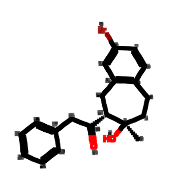 C[C@@]1(O)CCc2ccc(Br)cc2C[C@H]1C(=O)Cc1ccccc1